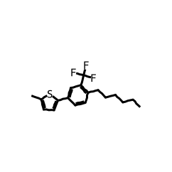 CCCCCCc1ccc(-c2ccc(C)s2)cc1C(F)(F)F